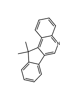 CC1(C)c2ccccc2-c2cnc3ccccc3c21